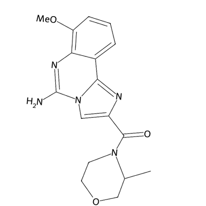 COc1cccc2c1nc(N)n1cc(C(=O)N3CCOCC3C)nc21